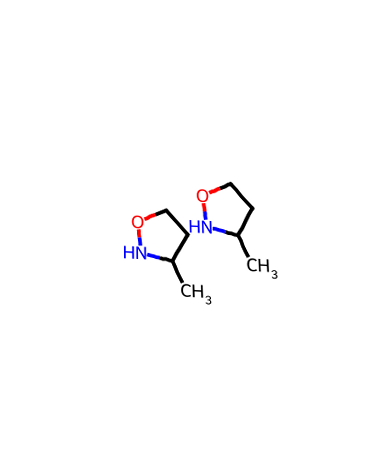 CC1CCON1.CC1CCON1